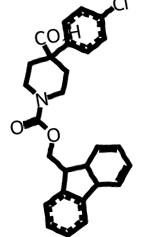 O=C(OCC1c2ccccc2C2C=CC=CC21)N1CCC(C(=O)O)(c2ccc(Cl)cc2)CC1